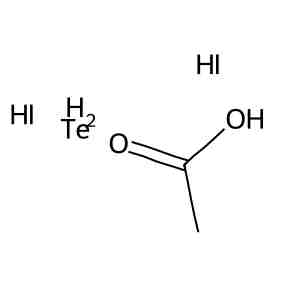 CC(=O)O.I.I.[TeH2]